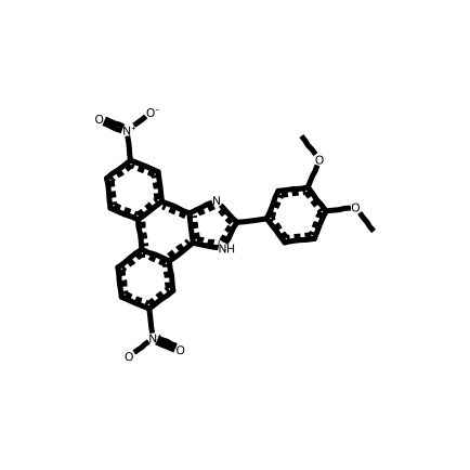 COc1ccc(-c2nc3c4cc([N+](=O)[O-])ccc4c4ccc([N+](=O)[O-])cc4c3[nH]2)cc1OC